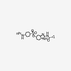 CCCNc1ccc(S(=O)(=O)Oc2ccc3[nH]c(NC(=O)C4CC4)nc3c2)cc1